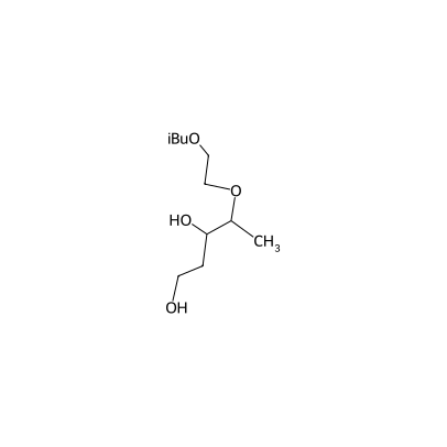 CC(C)COCCOC(C)C(O)CCO